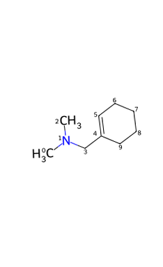 CN(C)CC1=CCCCC1